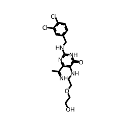 CC(=N)c1nc(NCc2ccc(Cl)c(Cl)c2)[nH]c(=O)c1NCCOCCO